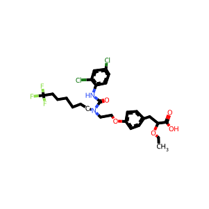 CCOC(Cc1ccc(OCCN(CCCCCCC(F)(F)F)C(=O)Nc2ccc(Cl)cc2Cl)cc1)C(=O)O